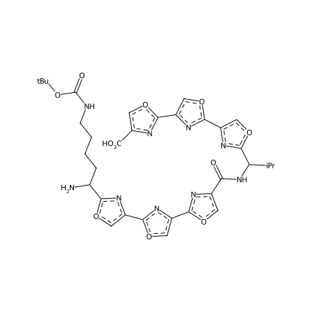 CC(C)C(NC(=O)c1coc(-c2coc(-c3coc(C(N)CCCCNC(=O)OC(C)(C)C)n3)n2)n1)c1nc(-c2nc(-c3nc(C(=O)O)co3)co2)co1